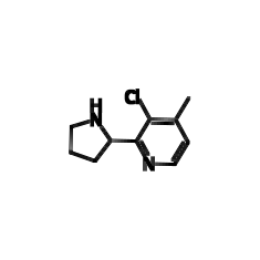 Cc1ccnc(C2CCCN2)c1Cl